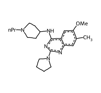 CCCN1CCC(Nc2nc(N3CCCC3)nc3cc(C)c(OC)cc23)CC1